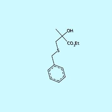 CCOC(=O)C(C)(O)CSCc1ccccc1